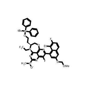 CCc1c(F)ccc2cc(OCOC)cc(-c3nc4c5c(nc([S+](C)[O-])nc5c3F)N(CC(F)(F)F)[C@@H](CCO[Si](c3ccccc3)(c3ccccc3)C(C)(C)C)CO4)c12